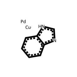 [Cu].[Pd].c1ccc2[nH]cnc2c1